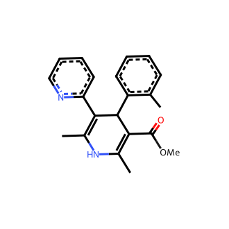 COC(=O)C1=C(C)NC(C)=C(c2ccccn2)C1c1ccccc1C